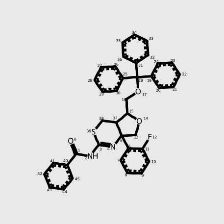 O=C(NC1=NC2(c3ccccc3F)COC(COC(c3ccccc3)(c3ccccc3)c3ccccc3)C2CS1)c1ccccc1